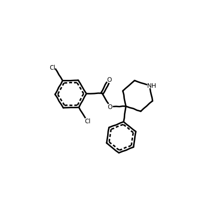 O=C(OC1(c2ccccc2)CCNCC1)c1cc(Cl)ccc1Cl